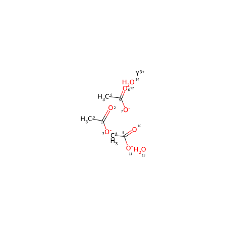 CC(=O)[O-].CC(=O)[O-].CC(=O)[O-].O.O.[Y+3]